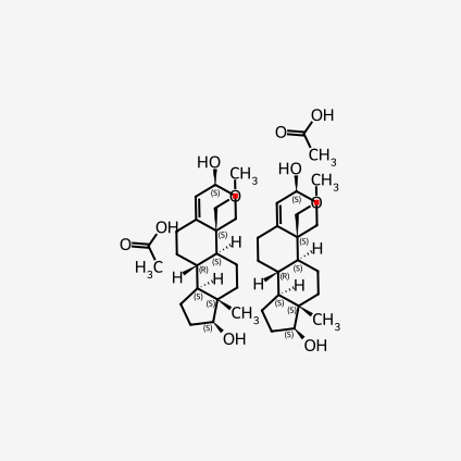 CC(=O)O.CC(=O)O.COC[C@]12CC[C@H](O)C=C1CC[C@@H]1[C@@H]2CC[C@]2(C)[C@@H](O)CC[C@@H]12.COC[C@]12CC[C@H](O)C=C1CC[C@@H]1[C@@H]2CC[C@]2(C)[C@@H](O)CC[C@@H]12